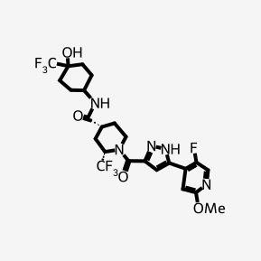 COc1cc(-c2cc(C(=O)N3CC[C@@H](C(=O)NC4CCC(O)(C(F)(F)F)CC4)C[C@H]3C(F)(F)F)n[nH]2)c(F)cn1